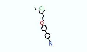 CCC(Cl)CC(C)CCCOc1ccc(-c2ccc(C#N)cc2)cc1